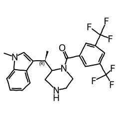 C[C@H](c1cn(C)c2ccccc12)C1CNCCN1C(=O)c1cc(C(F)(F)F)cc(C(F)(F)F)c1